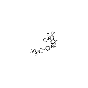 Cc1nc(Nc2ccc(C3CCN(C(=O)OC(C)(C)C)CC3)cc2)nc2c1cc(Br)c(=O)n2C1CCCC1